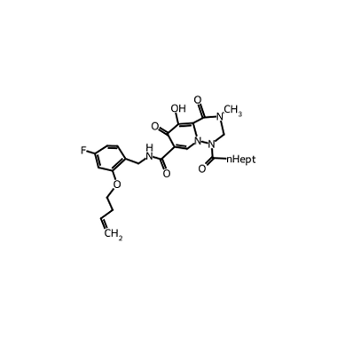 C=CCCOc1cc(F)ccc1CNC(=O)c1cn2c(c(O)c1=O)C(=O)N(C)CN2C(=O)CCCCCCC